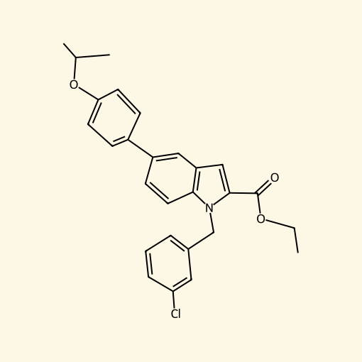 CCOC(=O)c1cc2cc(-c3ccc(OC(C)C)cc3)ccc2n1Cc1cccc(Cl)c1